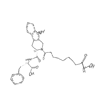 O=C(CCCCCCC(=O)N1Cc2[nH]c3ccccc3c2C[C@H]1C(=O)N[C@@H](Cc1ccccc1)C(=O)O)NO